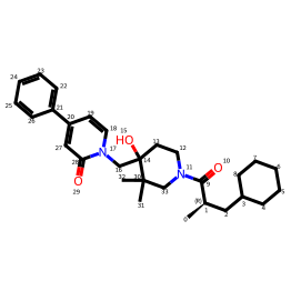 C[C@H](CC1CCCCC1)C(=O)N1CCC(O)(Cn2ccc(-c3ccccc3)cc2=O)C(C)(C)C1